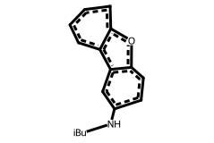 CCC(C)Nc1ccc2oc3ccccc3c2c1